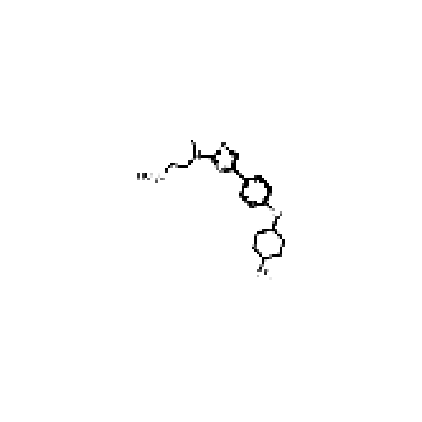 CN(CCC(=O)O)c1nc(-c2ccc(OC3CCC(C(F)(F)F)CC3)cc2)cs1